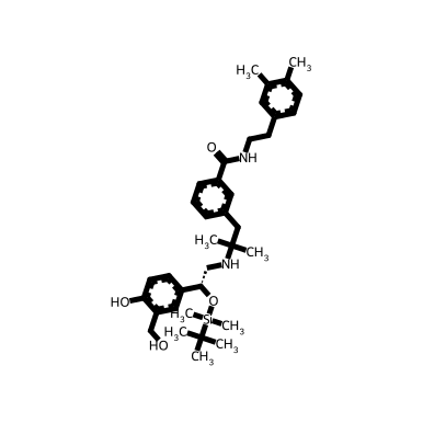 Cc1ccc(CCNC(=O)c2cccc(CC(C)(C)NC[C@H](O[Si](C)(C)C(C)(C)C)c3ccc(O)c(CO)c3)c2)cc1C